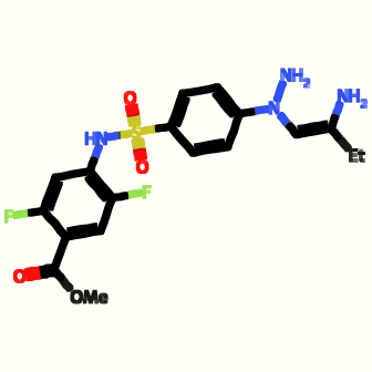 CC/C(N)=C/N(N)c1ccc(S(=O)(=O)Nc2cc(F)c(C(=O)OC)cc2F)cc1